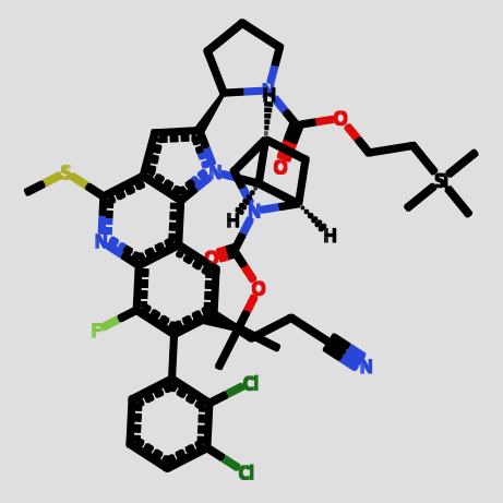 CSc1nc2c(F)c(-c3cccc(Cl)c3Cl)c(CCC#N)cc2c2c1cc([C@H]1CCCN1C(=O)OCC[Si](C)(C)C)n2[C@H]1[C@@H]2C[C@H]1N(C(=O)OC(C)(C)C)C2